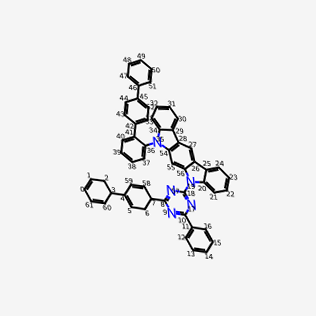 C1=CCC(C2=CCC(c3nc(-c4ccccc4)nc(-n4c5ccccc5c5cc6c7ccccc7n(-c7ccccc7-c7ccc(-c8ccccc8)cc7)c6cc54)n3)C=C2)C=C1